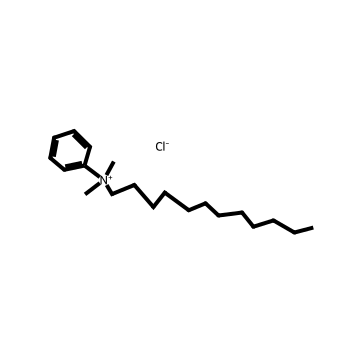 CCCCCCCCCCCC[N+](C)(C)c1ccccc1.[Cl-]